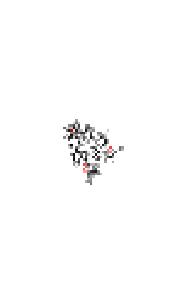 Cc1ccc(C2[C]([Zr][C]3=Cc4c(-c5ccc(C(C)(C)C)cc5)cccc4C3c3ccc(C)o3)=Cc3c(-c4ccc(C(C)(C)C)cc4)cccc32)o1